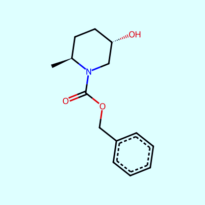 C[C@H]1CC[C@H](O)CN1C(=O)OCc1ccccc1